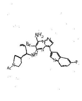 C=CC(Nc1nc2c(-c3cnc4ccc(F)cc4c3)cnn2c(N)c1Br)C1CCN(C(C)=O)CC1